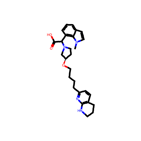 Cn1ccc2cccc(C(C(=O)O)N3CC[C@@H](OCCCCc4ccc5c(n4)NCCC5)C3)c21